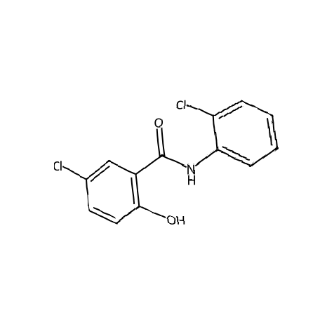 O=C(Nc1ccccc1Cl)c1cc(Cl)ccc1O